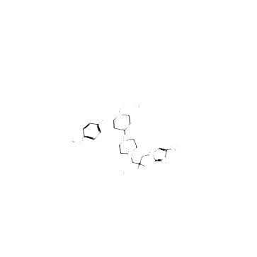 CC1(CN2CCN(C3CCN(C(=O)O)[C@@H](Cc4ccc(OC(F)(F)F)cc4)C3)CC2)Cn2cc([N+](=O)[O-])nc2O1